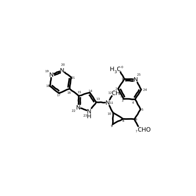 Cc1ccc(CC(C=O)C2CC2N(C)c2cc(-c3ccnnc3)n[nH]2)cn1